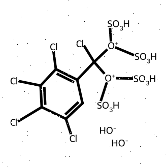 O=S(=O)(O)[O+](C(Cl)(c1cc(Cl)c(Cl)c(Cl)c1Cl)[O+](S(=O)(=O)O)S(=O)(=O)O)S(=O)(=O)O.[OH-].[OH-]